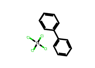 Cl[Te](Cl)(Cl)Cl.c1ccc(-c2ccccc2)cc1